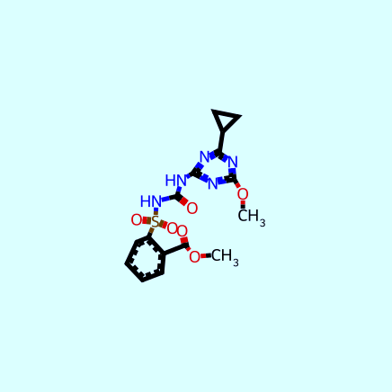 COC(=O)c1ccccc1S(=O)(=O)NC(=O)Nc1nc(OC)nc(C2CC2)n1